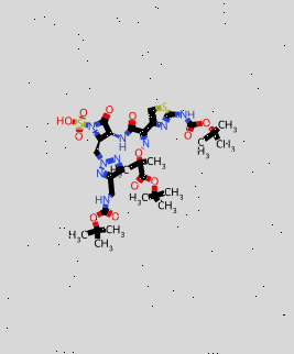 CC(C)(C)OC(=O)NCc1cnn(C[C@@H]2[C@H](NC(=O)C(=NOC(C)(C)C(=O)OC(C)(C)C)c3csc(NC(=O)OC(C)(C)C)n3)C(=O)N2S(=O)(=O)O)n1